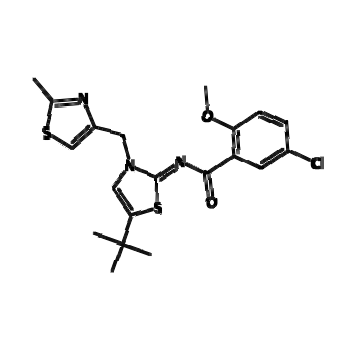 COc1ccc(Cl)cc1C(=O)N=c1sc(C(C)(C)C)cn1Cc1csc(C)n1